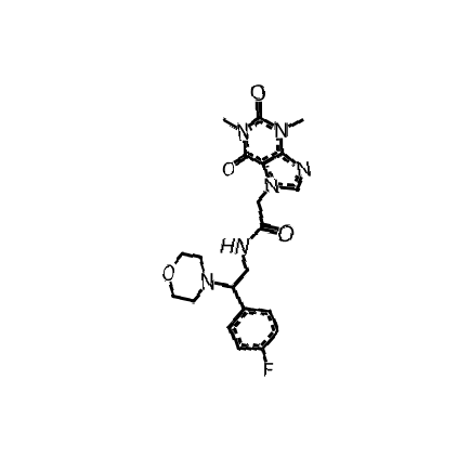 Cn1c(=O)c2c(ncn2CC(=O)NCC(c2ccc(F)cc2)N2CCOCC2)n(C)c1=O